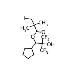 CC(C)(CI)C(=O)OC(C1CCCC1)C(O)(C(F)(F)F)C(F)(F)F